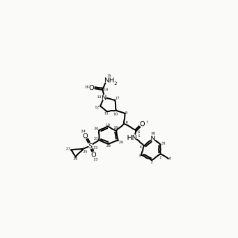 Cc1ccc(NC(=O)C(CC2CCN(C(N)=O)C2)c2ccc(S(=O)(=O)C3CC3)cc2)nc1